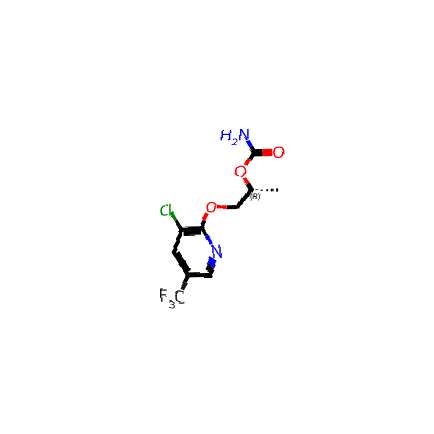 C[C@H](COc1ncc(C(F)(F)F)cc1Cl)OC(N)=O